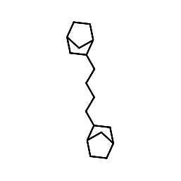 C(CCC1CC2CCC1C2)CC1CC2CCC1C2